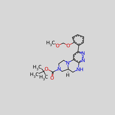 COCOc1ccccc1-c1cc2c(nn1)NC[C@H]1CN(C(=O)OC(C)(C)C)CCN21